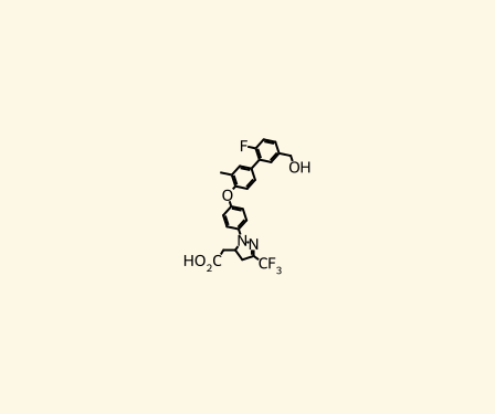 Cc1cc(-c2cc(CO)ccc2F)ccc1Oc1ccc(N2N=C(C(F)(F)F)CC2CC(=O)O)cc1